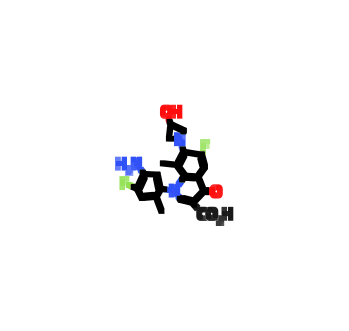 Cc1cc(F)c(N)cc1-n1cc(C(=O)O)c(=O)c2cc(F)c(N3CC(O)C3)c(C)c21